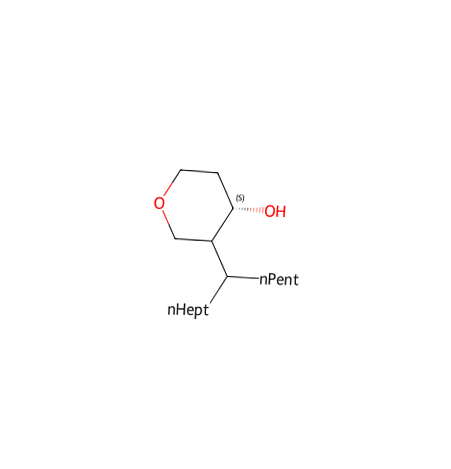 CCCCCCCC(CCCCC)C1COCC[C@@H]1O